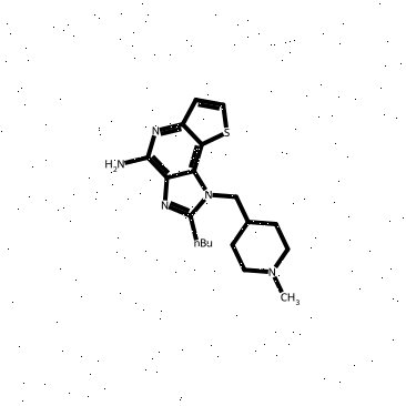 CCCCc1nc2c(N)nc3ccsc3c2n1CC1CCN(C)CC1